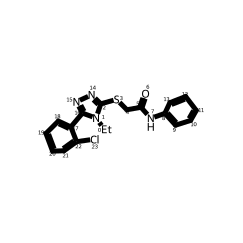 CCn1c(SCC(=O)Nc2ccccc2)nnc1-c1ccccc1Cl